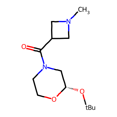 CN1CC(C(=O)N2CCO[C@@H](OC(C)(C)C)C2)C1